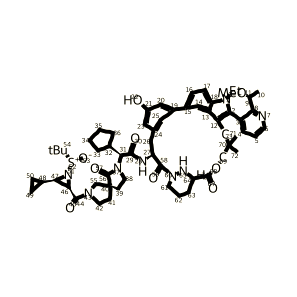 CCn1c(-c2cccnc2[C@H](C)OC)c2c3cc(ccc31)-c1cc(O)cc(c1)C[C@H](NC(=O)[C@H](C1CCCC1)N1CC[C@]3(CCN(C(=O)[C@H]4[C@@H](C5CC5)N4[S+]([O-])C(C)(C)C)C3)C1=O)C(=O)N1CCC[C@H](N1)C(=O)OCC(C)(C)C2